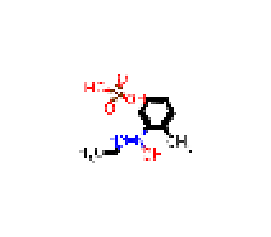 CCNN(O)c1ccccc1C.O=S(=O)(O)O